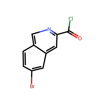 O=C(Cl)c1cc2cc(Br)ccc2cn1